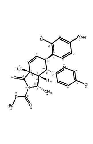 COc1ccc([C@@H]2C=C[C@@]3(C)C(=O)N(C(=O)OC(C)(C)C)[C@@H](C)[C@H]3[C@H]2c2ccc(Cl)cn2)c(Cl)c1